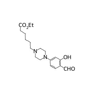 CCOC(=O)CCCCCN1CCN(c2ccc(C=O)c(O)c2)CC1